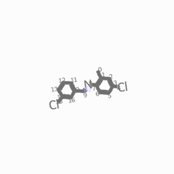 Cc1cc(Cl)ccc1/N=C/c1cccc(Cl)c1